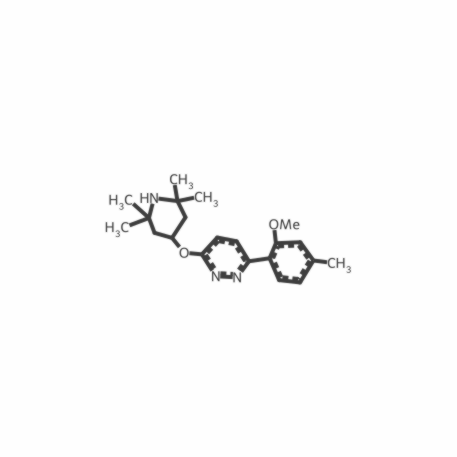 COc1cc(C)ccc1-c1ccc(OC2CC(C)(C)NC(C)(C)C2)nn1